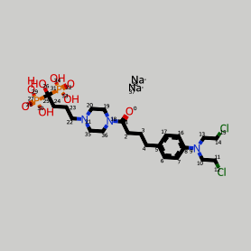 O=C(CCCc1ccc(N(CCCl)CCCl)cc1)N1CCN(CCCC(O)(P(=O)(O)O)P(=O)(O)O)CC1.[Na].[Na]